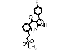 CS(=O)(=O)CCc1cccc(C(=O)c2c(-c3ccc(F)cc3)n[nH]c2N)c1